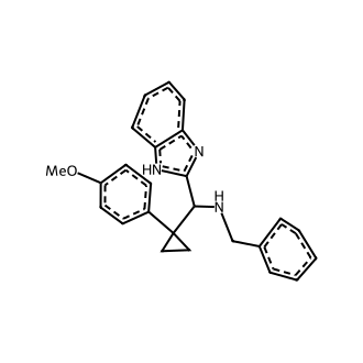 COc1ccc(C2(C(NCc3ccccc3)c3nc4ccccc4[nH]3)CC2)cc1